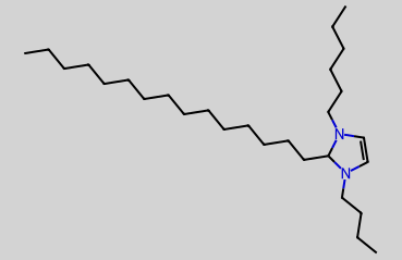 CCCCCCCCCCCCCCCC1N(CCCC)C=CN1CCCCCC